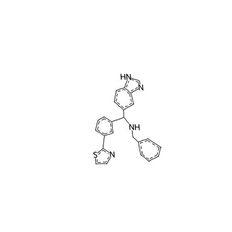 c1ccc(CNC(c2cccc(-c3nccs3)c2)c2ccc3[nH]cnc3c2)cc1